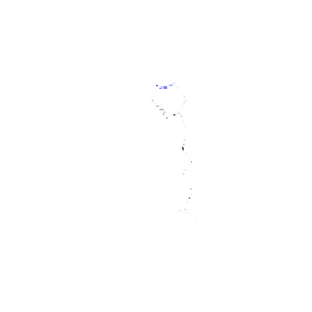 CC(F)CCCCCc1ccnnc1